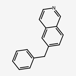 c1ccc(Cc2ccc3cnccc3c2)cc1